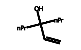 C=CC(O)(CCC)CCC